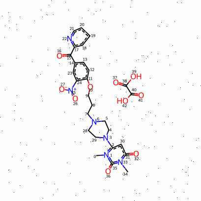 Cn1c(N2CCN(CCCOc3ccc(C(=O)c4ccccn4)cc3[N+](=O)[O-])CC2)cc(=O)n(C)c1=O.O=C(O)C(=O)O